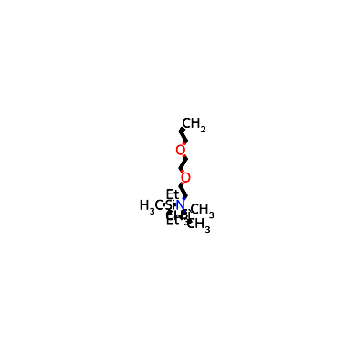 C=CCOCCOCCN([Si](C)(C)CC)[Si](C)(C)CC